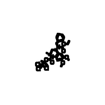 CCOC(=O)N(Cc1ccccc1)[C@@H]1C[C@H](C)N(C(=O)OC(C)(C)C(Cl)(Cl)Cl)c2cc(OC)c(OC)cc21